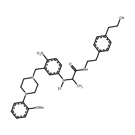 CCN(c1ccc([N+](=O)[O-])c(CN2CCN(c3ccccc3OC)CC2)c1)C(C)C(=O)NCCc1ccc(CCC#N)cc1